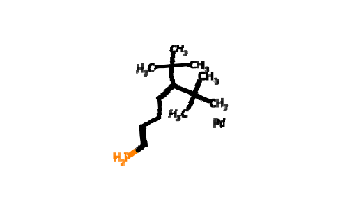 CC(C)(C)C(CCC=CP)C(C)(C)C.[Pd]